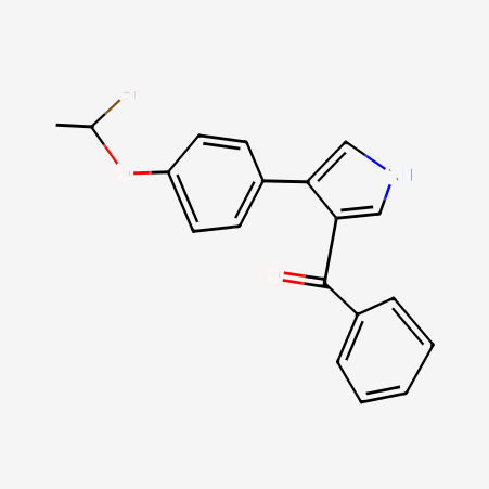 CC(Br)Oc1ccc(-c2c[nH]cc2C(=O)c2ccccc2)cc1